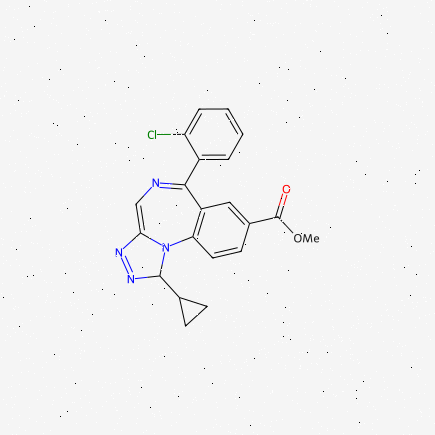 COC(=O)c1ccc2c(c1)C(c1ccccc1Cl)=NC=C1N=NC(C3CC3)N12